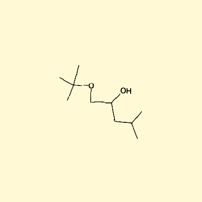 CC(C)CC(O)COC(C)(C)C